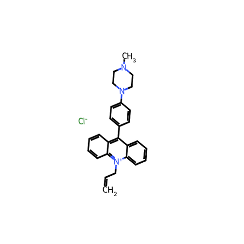 C=CC[n+]1c2ccccc2c(-c2ccc(N3CCN(C)CC3)cc2)c2ccccc21.[Cl-]